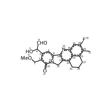 COCc1c(C(O)C=O)cc2n(c1=O)Cc1c-2nc2cc(F)c(C)c3c2c1CCC3